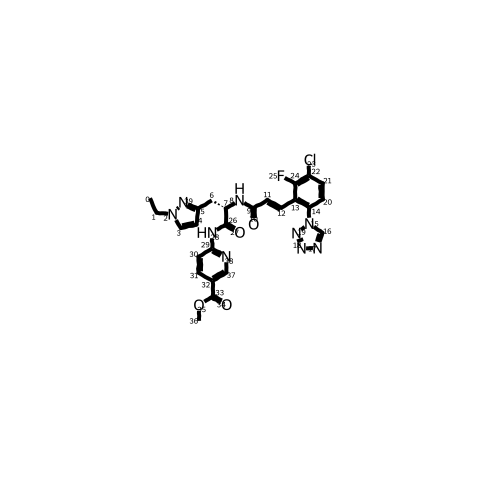 CCn1ccc(C[C@H](NC(=O)C=Cc2c(-n3cnnn3)ccc(Cl)c2F)C(=O)Nc2ccc(C(=O)OC)cn2)n1